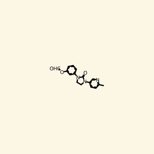 Cc1ccc(N2CCN(c3cccc(OC=O)c3)C2=O)cn1